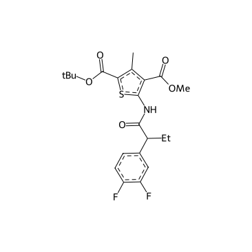 CCC(C(=O)Nc1sc(C(=O)OC(C)(C)C)c(C)c1C(=O)OC)c1ccc(F)c(F)c1